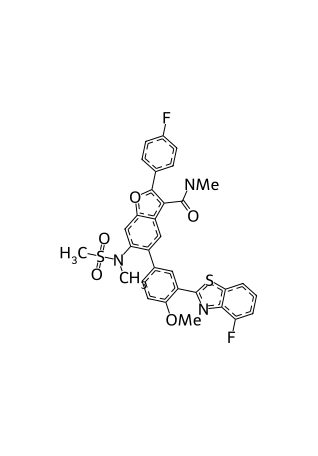 CNC(=O)c1c(-c2ccc(F)cc2)oc2cc(N(C)S(C)(=O)=O)c(-c3ccc(OC)c(-c4nc5c(F)cccc5s4)c3)cc12